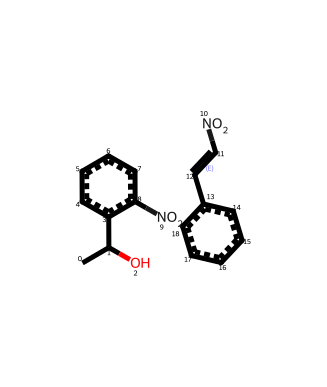 CC(O)c1ccccc1[N+](=O)[O-].O=[N+]([O-])/C=C/c1ccccc1